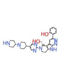 OC[C@@H]1c2c([nH]c3nnc(-c4ccccc4O)cc23)CCN1c1ncc(C2CCN(C3CCNCC3)CC2)cn1